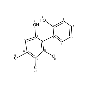 Oc1ccccc1-c1c(O)cc(Cl)c(Cl)c1Cl